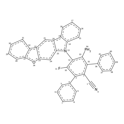 N#Cc1c(-c2ccccc2)c(F)c(-n2c3ccccc3c3cc4c(cc32)oc2ccccc24)c(P)c1-c1ccccc1